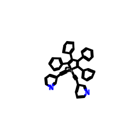 C(#[C][Ge]1([C]#Cc2cccnc2)[C](c2ccccc2)=C(c2ccccc2)C(c2ccccc2)=[C]1c1ccccc1)c1cccnc1